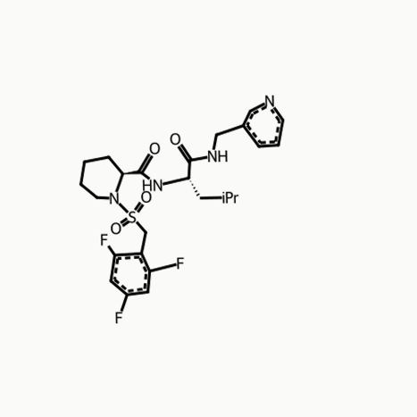 CC(C)C[C@H](NC(=O)[C@@H]1CCCCN1S(=O)(=O)Cc1c(F)cc(F)cc1F)C(=O)NCc1cccnc1